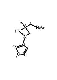 CNCC1(C)CN(c2ccon2)N1